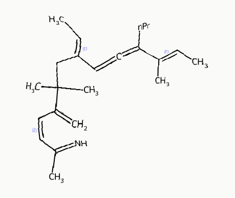 C=C(/C=C\C(C)=N)C(C)(C)C/C(C=C=C(CCC)/C(C)=C/C)=C\C